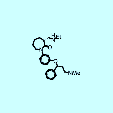 CCNC[C@H]1CCCCN(c2cccc(O[C@@H](CCNC)c3ccccc3)c2)C1=O